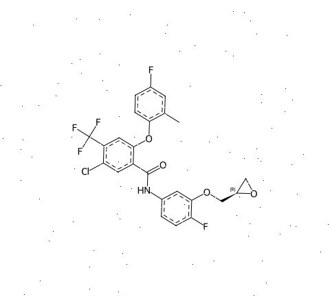 Cc1cc(F)ccc1Oc1cc(C(F)(F)F)c(Cl)cc1C(=O)Nc1ccc(F)c(OC[C@H]2CO2)c1